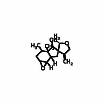 C=C1CO[C@@H](C)[C@]12C[C@@H]1[C@@H]3OC3C[C@@H](C)[C@]1(C)[C@H]2O